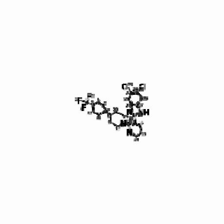 FC(F)(F)c1ccc(C2CCN(c3ncccc3-c3nc4cc(Cl)c(Cl)cc4[nH]3)CC2)cc1